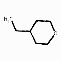 CCC1CCOCC1